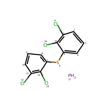 Clc1cccc(Sc2cccc(Cl)c2Cl)c1Cl.P